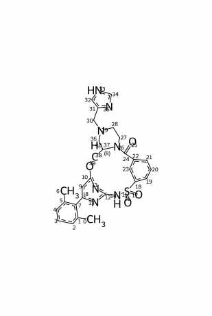 Cc1cccc(C)c1-c1cc2nc(n1)NS(=O)(=O)c1cccc(c1)C(=O)N1CCN(Cc3c[nH]cn3)C[C@@H]1CO2